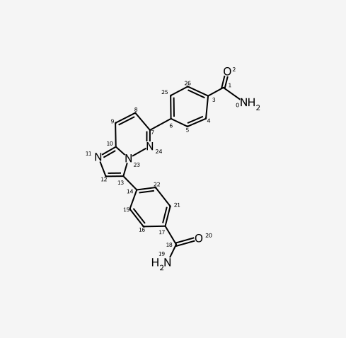 NC(=O)c1ccc(-c2ccc3ncc(-c4ccc(C(N)=O)cc4)n3n2)cc1